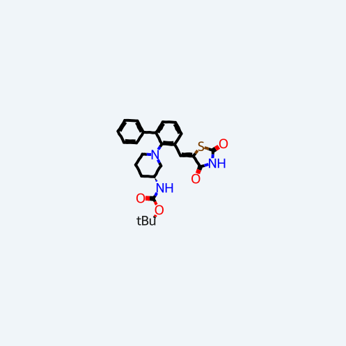 CC(C)(C)OC(=O)N[C@@H]1CCCN(c2c(/C=C3\SC(=O)NC3=O)cccc2-c2ccccc2)C1